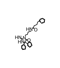 N=C1NC(c2ccccc2)(c2ccccc2)C(=O)N1CCCCNC(=O)CCCc1ccccc1